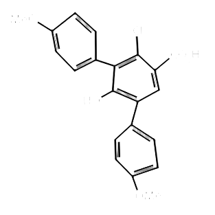 COc1ccc(-c2cc(C(=O)O)c(C)c(-c3ccc(OC)cc3)c2O)cc1